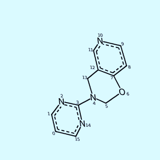 c1cnc(N2COc3ccncc3C2)nc1